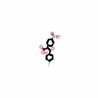 O=C(O)c1c(-c2ccc(F)cc2)oc2cc([N+](=O)[O-])ccc12